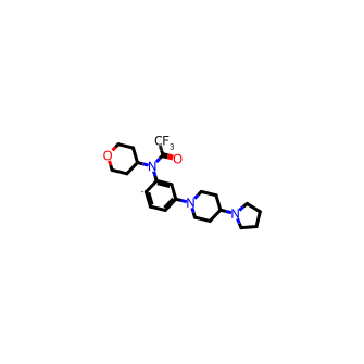 O=C(N(c1[c]ccc(N2CCC(N3CCCC3)CC2)c1)C1CCOCC1)C(F)(F)F